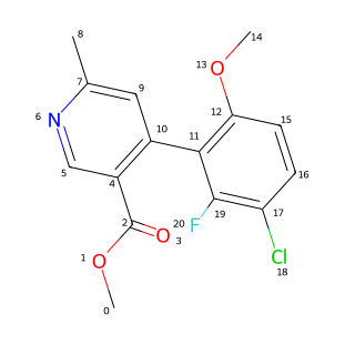 COC(=O)c1cnc(C)cc1-c1c(OC)ccc(Cl)c1F